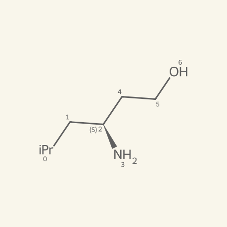 CC(C)C[C@H](N)CCO